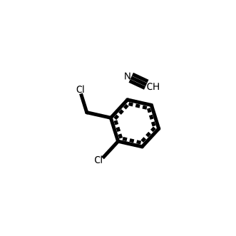 C#N.ClCc1ccccc1Cl